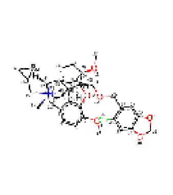 COc1ccc2c3c1O[C@H]1[C@@]4(OC)CC[C@@]5(C[C@@H]4COCc4cc6c(cc4Cl)OCO6)[C@@H](C2)[N@@+](C)(CC2CC2)CC[C@]315